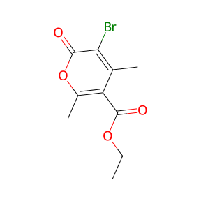 CCOC(=O)c1c(C)oc(=O)c(Br)c1C